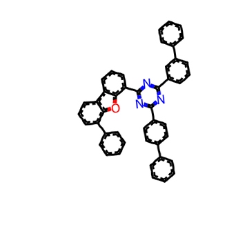 c1ccc(-c2ccc(-c3nc(-c4cccc(-c5ccccc5)c4)nc(-c4cccc5c4oc4c(-c6ccccc6)cccc45)n3)cc2)cc1